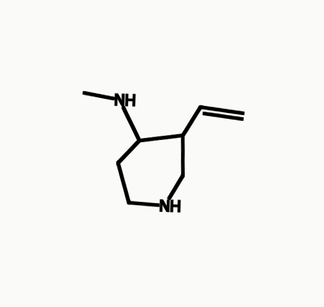 C=CC1CNCCC1NC